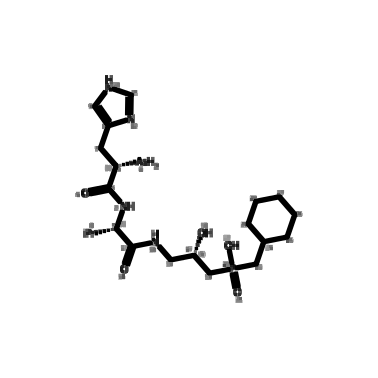 CC(C)[C@H](NC(=O)[C@@H]([AsH2])Cc1c[nH]cn1)C(=O)NC[C@H](O)CP(=O)(O)CC1CCCCC1